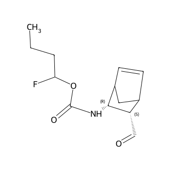 CCCC(F)OC(=O)N[C@@H]1C2C=CC(C2)[C@@H]1C=O